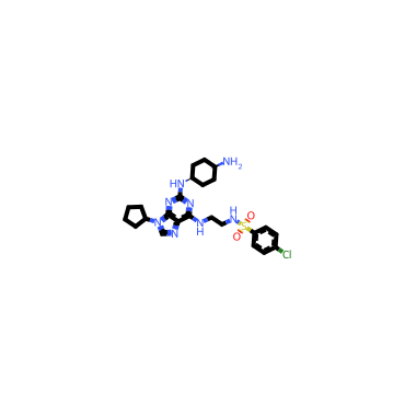 N[C@H]1CC[C@H](Nc2nc(NCCNS(=O)(=O)c3ccc(Cl)cc3)c3ncn(C4CCCC4)c3n2)CC1